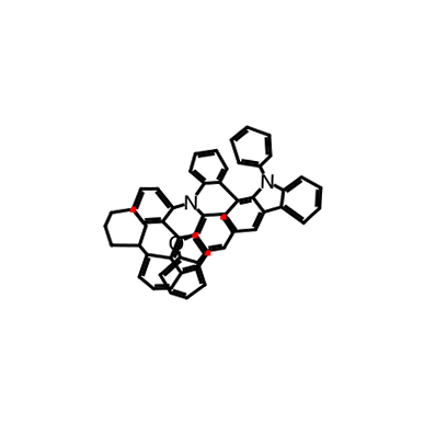 c1ccc(-n2c3ccccc3c3cccc(-c4ccccc4N(c4ccccc4-c4cccc5cccc(C6CCCCC6)c45)c4cccc5c4oc4ccccc45)c32)cc1